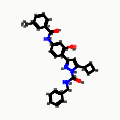 O=C(Nc1ccc(-c2cc(C3CCC3)n(C(=O)NCc3ccccc3)n2)c(O)c1)c1cccc(C(F)(F)F)c1